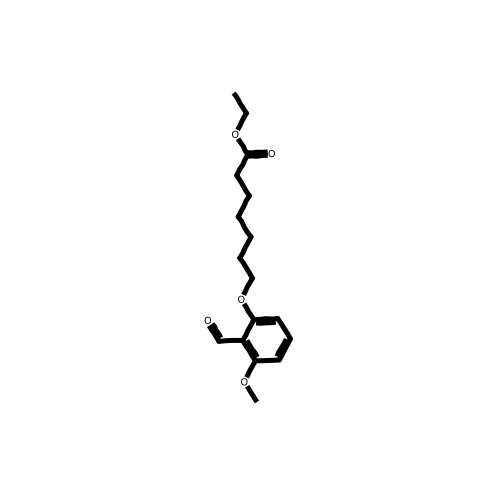 CCOC(=O)CCCCCCOc1cccc(OC)c1C=O